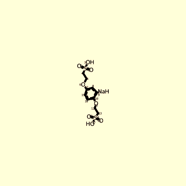 O=S(=O)(O)CCOc1ccc(OCCS(=O)(=O)O)cc1.[NaH]